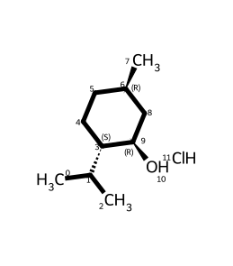 CC(C)[C@@H]1CC[C@@H](C)C[C@H]1O.Cl